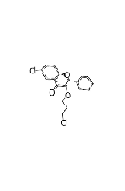 O=c1c(OCCCCl)c(-c2ccccc2)oc2ccc(Cl)cc12